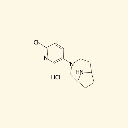 Cl.Clc1ccc(N2CCC3CCC(C2)N3)cn1